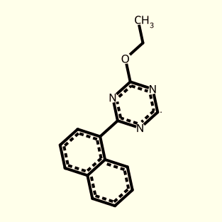 CCOc1n[c]nc(-c2cccc3ccccc23)n1